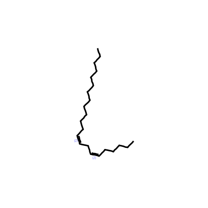 CCCCC/C=C\C/C=C\CCCCCCCCCCCC